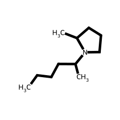 CCCCC(C)N1CCCC1C